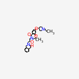 CCCN1CCC(Oc2ccc3c(c2)O[C@H](C)CN(C[C@H](O)CN2CCc4ccccc4C2)C3=O)CC1